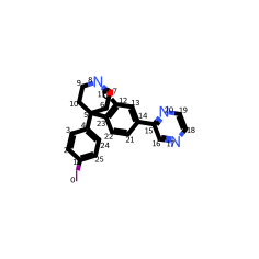 Ic1ccc(C23CCN(CC2)Cc2cc(-c4cnccn4)ccc23)cc1